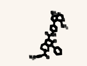 CC#CC(=O)N1CCc2cc(C(=O)Nc3ccc(-c4cn(C)c5ncnc(N)c45)cc3)c(=O)n(-c3ccccc3)c2C1